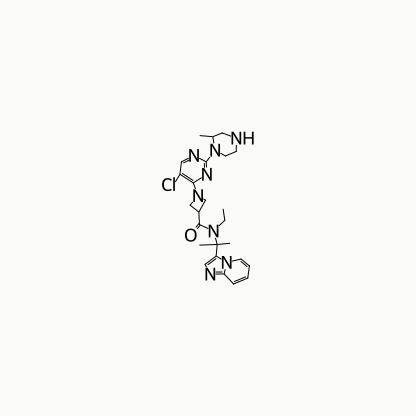 CCN(C(=O)C1CN(c2nc(N3CCNCC3C)ncc2Cl)C1)C(C)(C)c1cnc2ccccn12